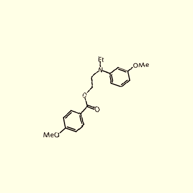 CCN(CCOC(=O)c1ccc(OC)cc1)c1cccc(OC)c1